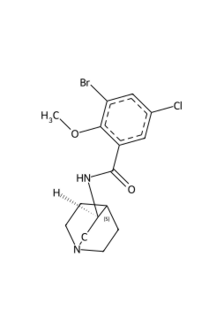 COc1c(Br)cc(Cl)cc1C(=O)N[C@@H]1CN2CCC1CC2